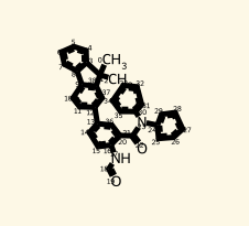 CC1(C)c2ccccc2-c2ccc(-c3ccc(NC=O)c(C(=O)N(c4ccccc4)c4ccccc4)c3)cc21